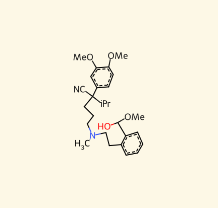 COc1ccc(C(C#N)(CCCN(C)CCc2ccccc2C(O)OC)C(C)C)cc1OC